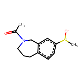 CC(=O)N1CCCc2ccc([S+](C)[O-])cc2C1